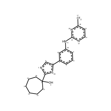 OC1(c2ncc(-c3cccc(Nc4nccc(C(F)(F)F)n4)c3)s2)CCCCCC1